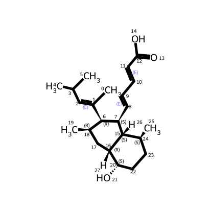 C/C(=C\C(C)C)[C@H]1[C@@H](/C=C/C=C/C(=O)O)[C@H]2[C@@H](C[C@H]1C)[C@@H](O)CC[C@@H]2C